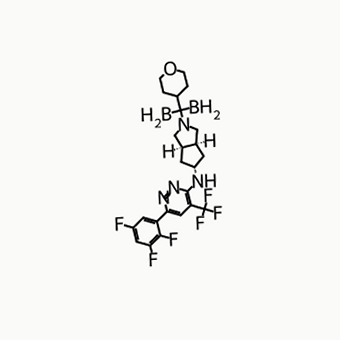 BC(B)(C1CCOCC1)N1C[C@H]2C[C@H](Nc3nnc(-c4cc(F)cc(F)c4F)cc3C(F)(F)F)C[C@H]2C1